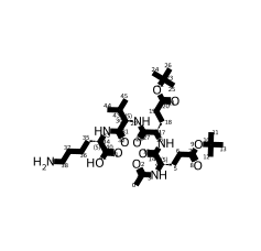 CC(=O)N[C@@H](CCC(=O)OC(C)(C)C)C(=O)N[C@@H](CCC(=O)OC(C)(C)C)C(=O)N[C@H](C(=O)N[C@@H](CCCCN)C(=O)O)C(C)C